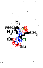 CC#CC(Cc1nn(Cc2ncc(C)c(OC)c2C)c2nc(N(C(=O)OC(C)(C)C)C(=O)OC(C)(C)C)nc(Cl)c12)OS(C)(=O)=O